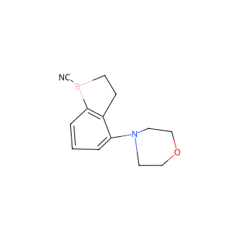 N#CB1CCc2c1cccc2N1CCOCC1